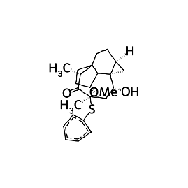 CO[C@@H]1CCC23CC[C@H]4C[C@@]4(C12)[C@H](O)C[C@@](C)(Sc1ccccc1)C(=O)[C@@H]3C